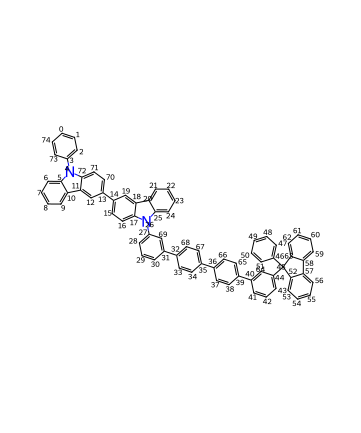 c1ccc(-n2c3ccccc3c3cc(-c4ccc5c(c4)c4ccccc4n5-c4cccc(-c5ccc(-c6ccc(-c7cccc(C8(c9ccccc9)c9ccccc9-c9ccccc98)c7)cc6)cc5)c4)ccc32)cc1